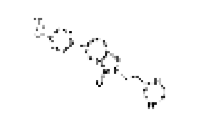 O=c1n(CCc2cnccn2)nc2ccc(-c3ccc(OC(F)(F)F)cc3)cn12